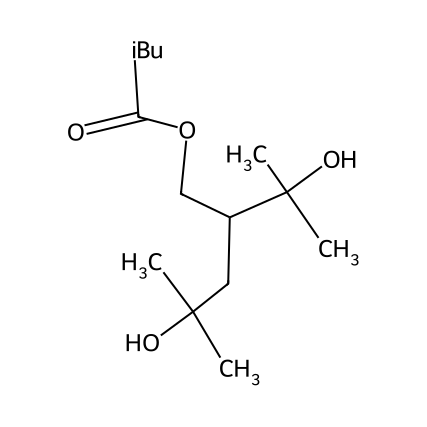 CCC(C)C(=O)OCC(CC(C)(C)O)C(C)(C)O